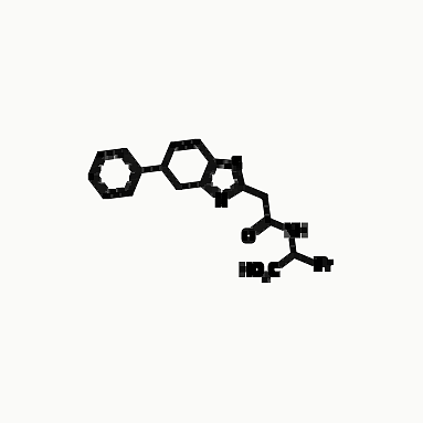 CC(C)C(NC(=O)Cc1nc2c(s1)C=CC(c1ccccc1)C2)C(=O)O